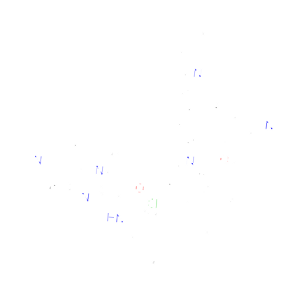 CCN1CCc2c(nc(C(=O)Nc3cccc(-c4cccc(-c5nc6cc(CN7CCCC7)cc(C#N)c6o5)c4C)c3Cl)n2C)C1